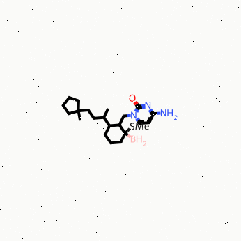 BC1(SC)CCCC(C(C)CCC2(C)CCCC2)C1Cn1ccc(N)nc1=O